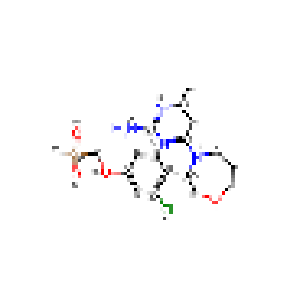 CC1CC(N2CCCOC[C@@H]2c2ccc(OCS(C)(=O)=O)cc2Cl)=NC(N)=N1